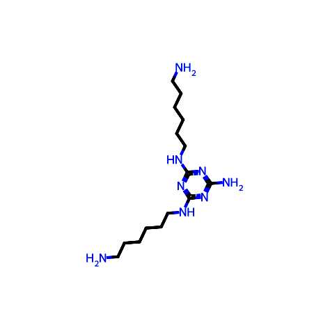 NCCCCCCNc1nc(N)nc(NCCCCCCN)n1